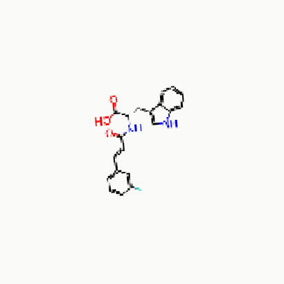 O=C(C=Cc1cccc(F)c1)N[C@@H](Cc1c[nH]c2ccccc12)C(=O)O